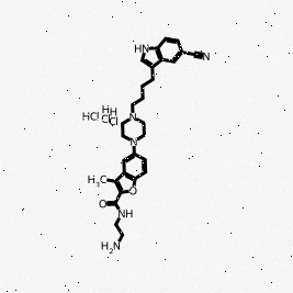 Cc1c(C(=O)NCCN)oc2ccc(N3CCN(CCCCc4c[nH]c5ccc(C#N)cc45)CC3)cc12.Cl.Cl.Cl